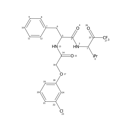 CC(C)C(NC(=O)C(Cc1ccccc1)NC(=O)COc1cccc(Cl)c1)C(=O)C(F)(F)F